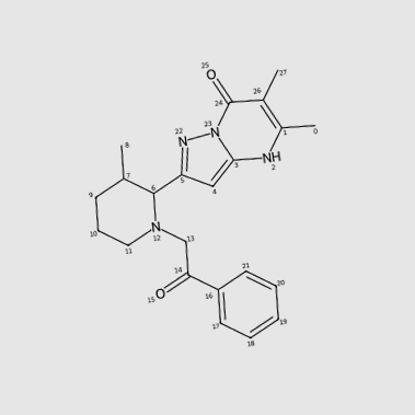 Cc1[nH]c2cc(C3C(C)CCCN3CC(=O)c3ccccc3)nn2c(=O)c1C